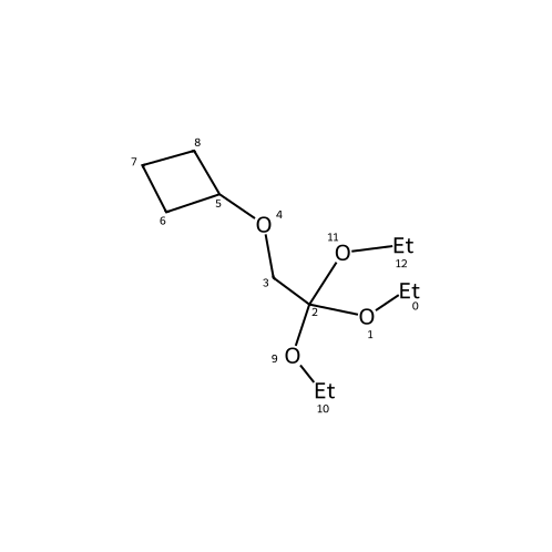 CCOC(COC1CCC1)(OCC)OCC